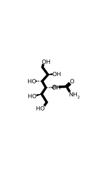 CC(C)C(N)=O.OC[C@@H](O)[C@@H](O)[C@H](O)[C@H](O)CO